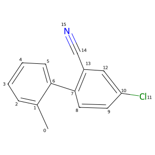 Cc1ccccc1-c1ccc(Cl)cc1C#N